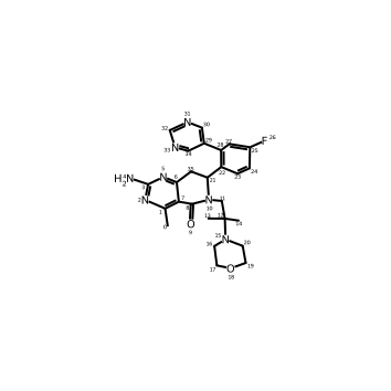 Cc1nc(N)nc2c1C(=O)N(CC(C)(C)N1CCOCC1)C(c1ccc(F)cc1-c1cncnc1)C2